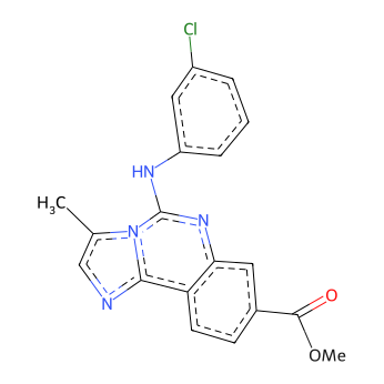 COC(=O)c1ccc2c(c1)nc(Nc1cccc(Cl)c1)n1c(C)cnc21